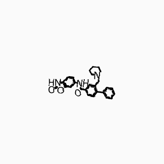 O=C(Nc1ccc2[nH]c(=O)oc2c1)c1ccc(-c2ccccc2)c(CN2CCCCC2)c1